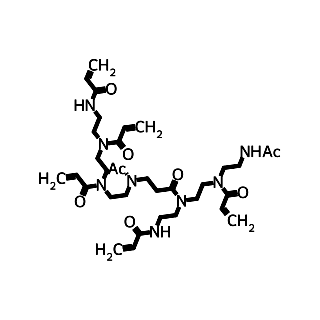 C=CC(=O)NCCN(CCN(CCN(CCC(=O)N(CCNC(=O)C=C)CCN(CCNC(C)=O)C(=O)C=C)C(C)=O)C(=O)C=C)C(=O)C=C